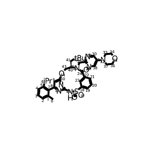 Cc1cccc(C(C)C)c1-c1cc2nc(n1)NS(=O)(=O)c1cccc(c1)C(=O)N(Cc1ncc(N3CCOCC3)cn1)[C@H](CC(C)(C)C)CO2